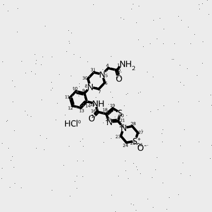 Cl.NC(=O)CN1CCN(c2ccccc2NC(=O)c2csc(N3CC[S+]([O-])CC3)n2)CC1